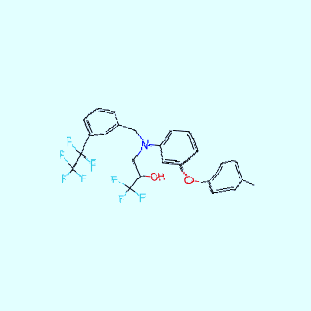 Cc1ccc(Oc2cccc(N(Cc3cccc(C(F)(F)C(F)(F)F)c3)CC(O)C(F)(F)F)c2)cc1